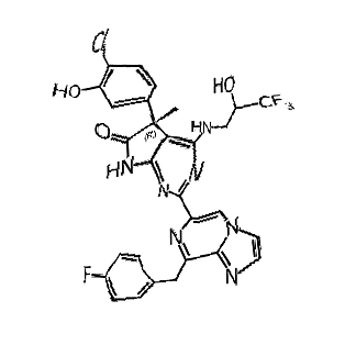 C[C@]1(c2ccc(Cl)c(O)c2)C(=O)Nc2nc(-c3cn4ccnc4c(Cc4ccc(F)cc4)n3)nc(NCC(O)C(F)(F)F)c21